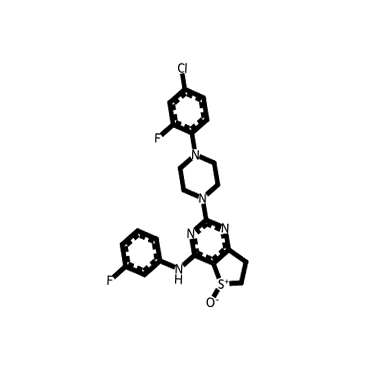 [O-][S+]1CCc2nc(N3CCN(c4ccc(Cl)cc4F)CC3)nc(Nc3cccc(F)c3)c21